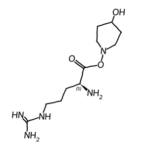 N=C(N)NCCC[C@H](N)C(=O)ON1CCC(O)CC1